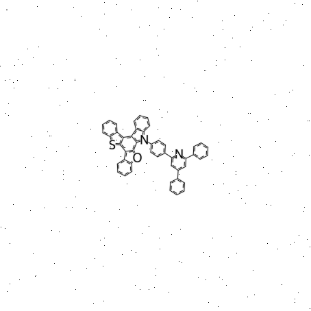 c1ccc(-c2cc(-c3ccccc3)nc(-c3ccc(-n4c5ccccc5c5c6c7ccccc7sc6c6c7ccccc7oc6c54)cc3)c2)cc1